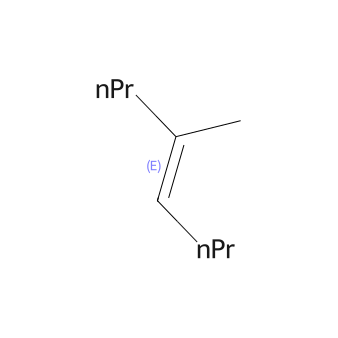 [CH2]CC/C(C)=C/CCC